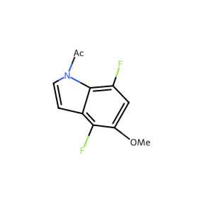 COc1cc(F)c2c(ccn2C(C)=O)c1F